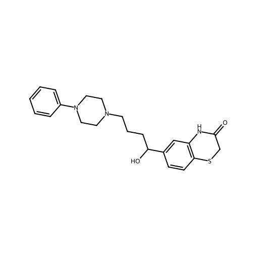 O=C1CSc2ccc(C(O)CCCN3CCN(c4ccccc4)CC3)cc2N1